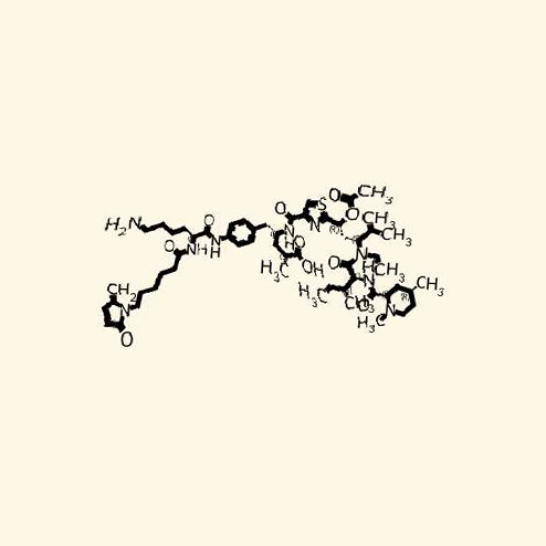 C=C1C=CC(=O)N1CCCCCC(=O)N[C@@H](CCCCN)C(=O)Nc1ccc(C[C@@H](C[C@H](C)C(=O)O)NC(=O)c2csc([C@@H](C[C@H](C(C)C)N(CC)C(=O)[C@@H](NC(=O)[C@H]3C[C@H](C)CCN3C)[C@@H](C)CC)OC(C)=O)n2)cc1